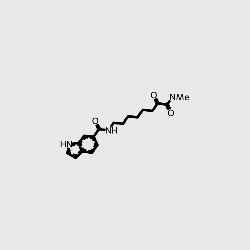 CNC(=O)C(=O)CCCCCCNC(=O)c1ccc2cc[nH]c2c1